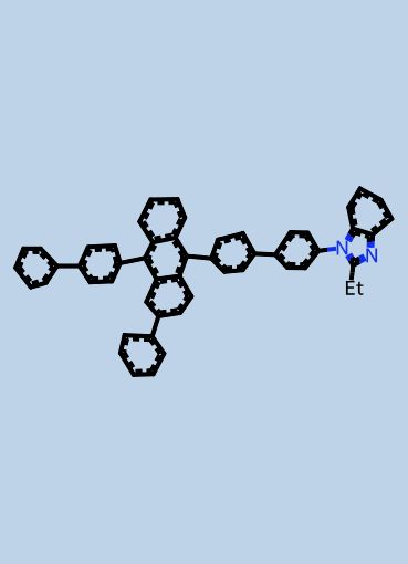 CCc1nc2ccccc2n1-c1ccc(-c2ccc(-c3c4ccccc4c(-c4ccc(-c5ccccc5)cc4)c4cc(-c5ccccc5)ccc34)cc2)cc1